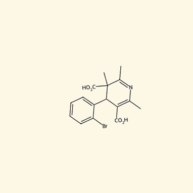 CC1=NC(C)=C(C(=O)O)C(c2ccccc2Br)C1(C)C(=O)O